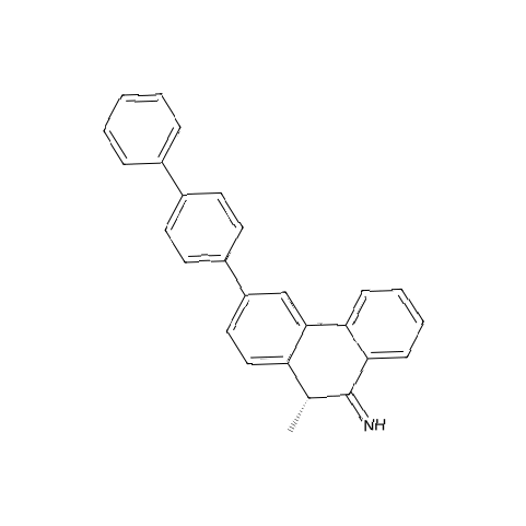 C[C@H]1C(=N)c2ccccc2-c2cc(-c3ccc(-c4ccccc4)cc3)ccc21